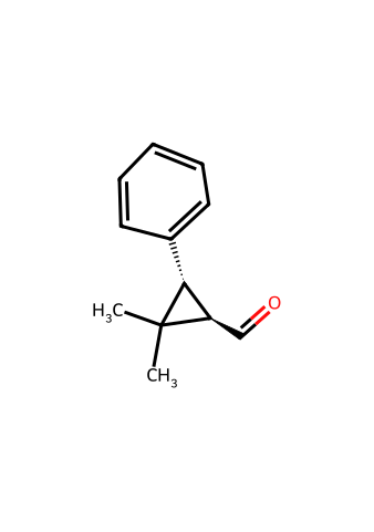 CC1(C)[C@H](C=O)[C@H]1c1ccccc1